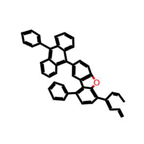 C=C/C=C(\C=C/C)c1ccc(-c2ccccc2)c2c1oc1ccc(-c3c4ccccc4c(-c4ccccc4)c4ccccc34)cc12